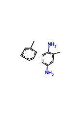 Cc1cc(N)ccc1N.Cc1ccccc1